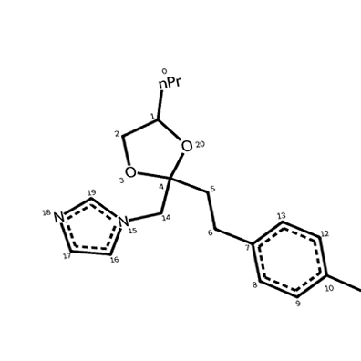 CCCC1COC(CCc2ccc(C(C)C)cc2)(Cn2ccnc2)O1